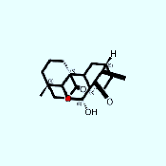 C=C1C(=O)[C@]23CC[C@H]1CC2[C@@]12CCC[C@@](C)(COC1=O)C2C[C@H]3O